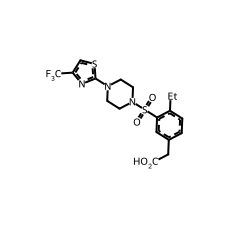 CCc1ccc(CC(=O)O)cc1S(=O)(=O)N1CCN(c2nc(C(F)(F)F)cs2)CC1